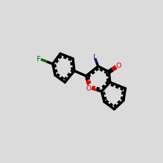 O=c1c(I)c(-c2ccc(F)cc2)oc2ccccc12